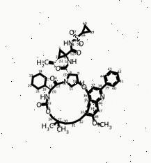 C=C[C@@H]1C[C@]1(NC(=O)[C@@H]1C[C@@H]2CN1C(=O)[C@H](C1CCCCC1)NC(=O)OCC(C)(C)CCCc1cc3c(cc(-c4ccccc4)nc3cc1OC)O2)C(=O)NS(=O)(=O)C1CC1